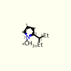 CCC(CC)c1cccn1C